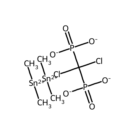 O=P([O-])([O-])C(Cl)(Cl)P(=O)([O-])[O-].[CH3][Sn+2][CH3].[CH3][Sn+2][CH3]